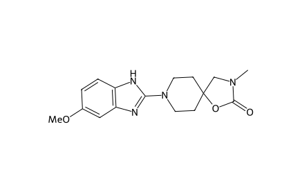 COc1ccc2[nH]c(N3CCC4(CC3)CN(C)C(=O)O4)nc2c1